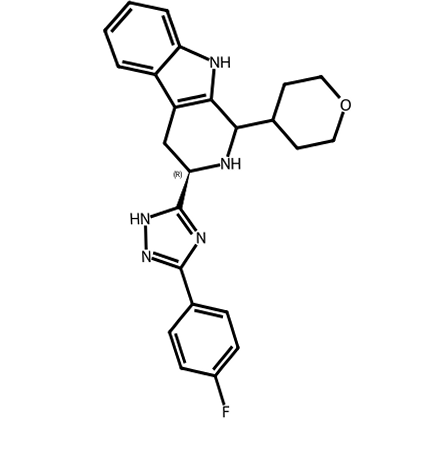 Fc1ccc(-c2n[nH]c([C@H]3Cc4c([nH]c5ccccc45)C(C4CCOCC4)N3)n2)cc1